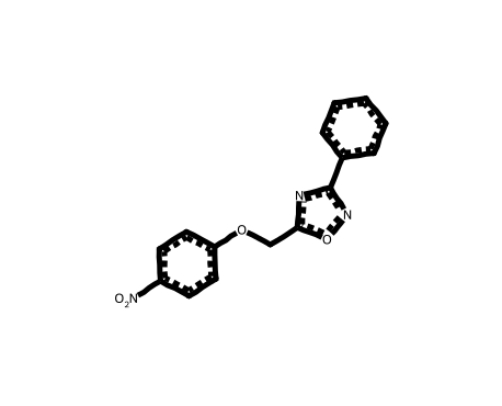 O=[N+]([O-])c1ccc(OCc2nc(-c3ccccc3)no2)cc1